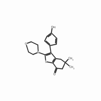 CC1(C)CC(=O)c2sc(N3CCOCC3)c(-c3ccc(O)cc3)c2C1